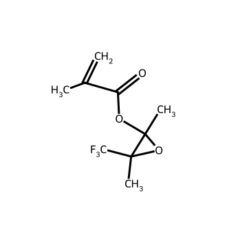 C=C(C)C(=O)OC1(C)OC1(C)C(F)(F)F